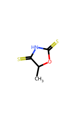 CC1OC(=S)NC1=S